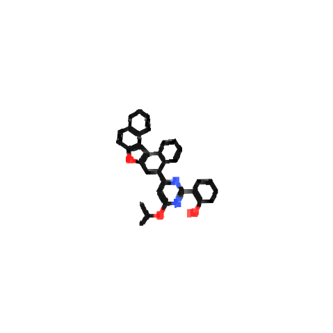 CC(C)Oc1cc(C2=Cc3oc4ccc5c(c4c3C3C=CC=CC23)C=CCC5)nc(C2=C(O)CCC=C2)n1